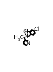 CC(NCc1ccc(Cl)cc1Cl)c1cccnc1